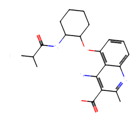 Cc1nc2cccc(OC3CCCCC3NC(=O)C(C)C)c2c(N)c1C(=O)O